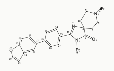 CCN1C(=O)C2(CCN(C(C)C)CC2)N=C1c1ccc(-c2ccc3occc3c2)cc1